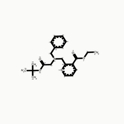 CCOC(=O)c1cccnc1CN(CC(=O)OC(C)(C)C)Cc1ccccc1